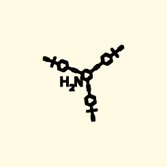 C#CC(C)(C)c1ccc(C#Cc2cc(C#Cc3ccc(C(C)(C)C#C)cc3)c(N)c(C#Cc3ccc(C(C)(C)C#C)cc3)c2)cc1